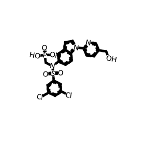 O=P(O)(O)CN(c1ccc2c(ccn2-c2ccc(CO)cn2)c1)S(=O)(=O)c1cc(Cl)cc(Cl)c1